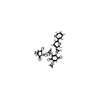 O=C1C=C(N2CC2)C(=O)C(N2CC2)=C1N1CC1.O=C1CCC(=O)N1O.[Ru].c1ccc(-c2ccccn2)nc1